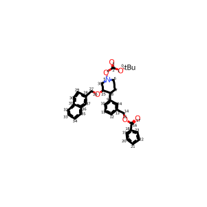 CC(C)(C)OC(=O)ON1CCC(c2cccc(COC(=O)c3ccccc3)c2)C(OCc2ccc3ccccc3c2)C1